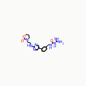 N=C(N)NC(=O)NCc1cccc(-c2cnc(NCCN3CCCOC3=O)nc2)c1